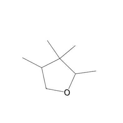 CC1COC(C)C1(C)C